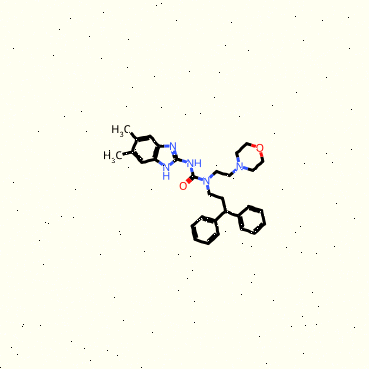 Cc1cc2nc(NC(=O)N(CCC(c3ccccc3)c3ccccc3)CCN3CCOCC3)[nH]c2cc1C